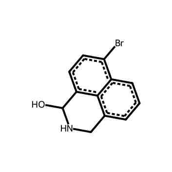 OC1NCc2cccc3c(Br)ccc1c23